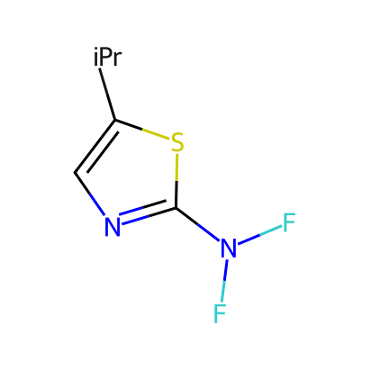 CC(C)c1cnc(N(F)F)s1